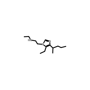 CCCC(C)c1ncn(CCNCC)c1CC